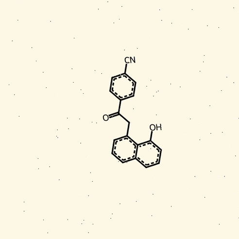 N#Cc1ccc(C(=O)Cc2cccc3cccc(O)c23)cc1